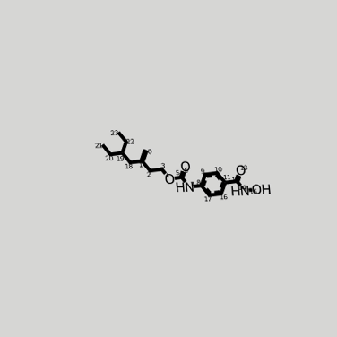 C=C(CCOC(=O)Nc1ccc(C(=O)NO)cc1)CC(CC)CC